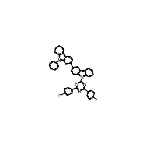 Fc1ccc(-c2nc(-c3ccc(F)cc3)nc(-n3c4ccccc4c4cc(-c5ccc6c7ccccc7n(-c7ccccc7)c6c5)ccc43)n2)cc1